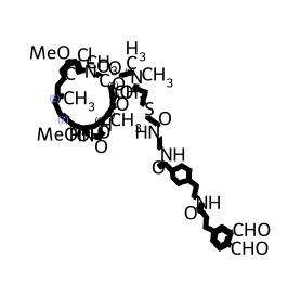 COc1cc2cc(c1Cl)N(C)C(=O)C[C@@H](OC(=O)[C@H](C)N(C)C(=O)CCSCC(=O)NCCNC(=O)C1CCC(CCNC(=O)CCc3ccc(C=O)c(C=O)c3)CC1)[C@]1(C)OC1[C@H](C)[C@@H]1C[C@@](O)(NC(=O)O1)[C@H](OC)/C=C\C=C(/C)C2